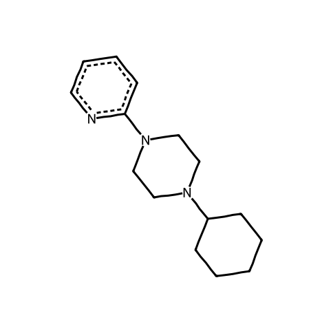 c1ccc(N2CCN(C3CCCCC3)CC2)nc1